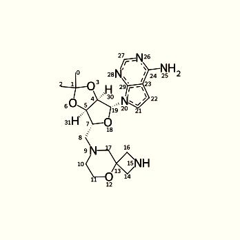 CC1(C)O[C@@H]2[C@H](O1)[C@@H](CN1CCOC3(CNC3)C1)O[C@H]2n1ccc2c(N)ncnc21